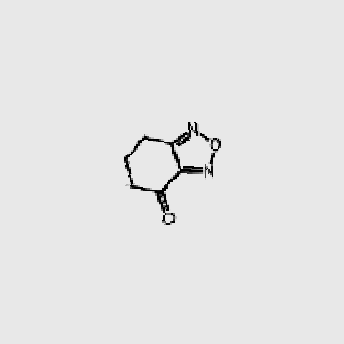 O=C1[CH]CCc2nonc21